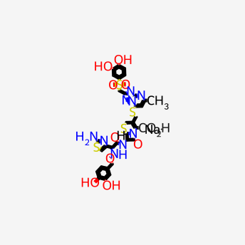 Cc1cc(SCC2=C(C(=O)O)N3C(=O)[C@@H](NC(=O)C(=NOCc4ccc(O)c(O)c4)c4csc(N)n4)[C@H]3SC2)n2nc(CS(=O)(=O)c3ccc(O)c(O)c3)nc2n1.[Na]